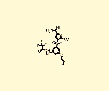 C=CCOc1cc(Br)cc(S(=O)(=O)c2cc(C(=N)N)sc2SC)c1.O=C(O)C(F)(F)F